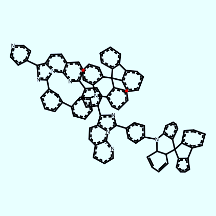 C1=CC2C(C=C1)C1(c3ccccc3-c3ccccc31)c1ccccc1N2c1ccc(-c2nc(-c3ccc(-c4ccc5ccc6c(-c7ccncc7)nc(-c7cccc(-c8cccc(N9c%10ccccc%10C%10(c%11ccccc%11-c%11ccccc%11%10)c%10ccccc%109)c8)c7)n6c5n4)cc3)c3ccc4cccnc4n23)cc1